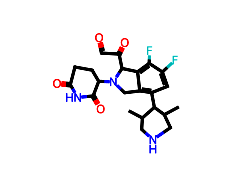 CC1CNCC(C)C1c1cc(F)c(F)c2c1CN(C1CCC(=O)NC1=O)C2C(=O)C=O